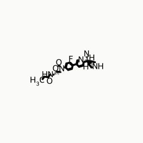 CCC(=O)NC[C@H]1CN(c2ccc(-c3ccc([C@@]4(C#N)[C@@H]5CNC[C@@H]54)nc3)c(F)c2)C(=O)O1